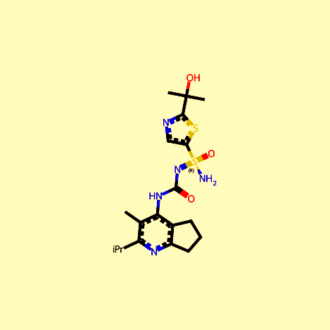 Cc1c(C(C)C)nc2c(c1NC(=O)N=[S@@](N)(=O)c1cnc(C(C)(C)O)s1)CCC2